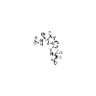 Cc1cc(C)c(-c2cnc(NC=O)c(C)c2)cc1C(=O)NC1CC1